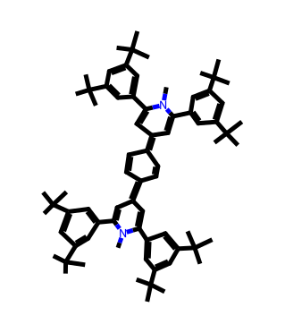 CN1C(c2cc(C(C)(C)C)cc(C(C)(C)C)c2)=CC(=c2ccc(=C3C=C(c4cc(C(C)(C)C)cc(C(C)(C)C)c4)N(C)C(c4cc(C(C)(C)C)cc(C(C)(C)C)c4)=C3)cc2)C=C1c1cc(C(C)(C)C)cc(C(C)(C)C)c1